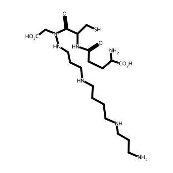 NCCCNCCCCNCCCNN(CC(=O)O)C(=O)C(CS)NC(=O)CCC(N)C(=O)O